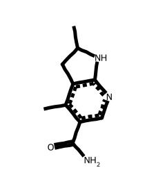 Cc1c(C(N)=O)cnc2c1CC(C)N2